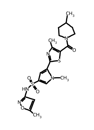 Cc1cc(NS(=O)(=O)c2cc(-c3nc(C)c(C(=O)N4CCC(C)CC4)s3)n(C)c2)no1